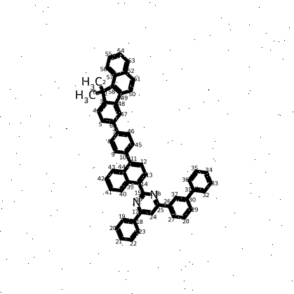 CC1(C)c2ccc(-c3ccc(-c4ccc(-c5nc(-c6ccccc6)cc(-c6cccc(-c7ccccc7)c6)n5)c5ccccc45)cc3)cc2-c2ccc3ccccc3c21